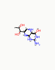 CC(O)C(O)C1=CNC2=C(O)NC(N)NC2=N1